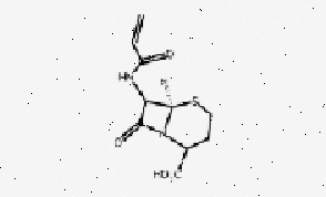 C=CC(=O)NC1C(=O)N2C(C(=O)O)CCS[C@H]12